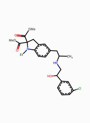 CCN1c2ccc(CC(C)NCC(O)c3cccc(Cl)c3)cc2CC1(C(=O)OC)C(=O)OC